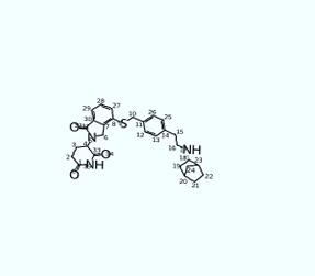 O=C1CCC(N2Cc3c(SCc4ccc(CCN[C@H]5CC6CCC5C6)cc4)cccc3C2=O)C(=O)N1